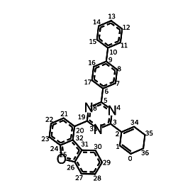 C1=CC(c2nc(-c3ccc(-c4ccccc4)cc3)nc(-c3cccc4oc5ccccc5c34)n2)=CCC1